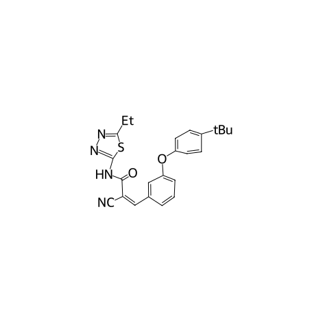 CCc1nnc(NC(=O)C(C#N)=Cc2cccc(Oc3ccc(C(C)(C)C)cc3)c2)s1